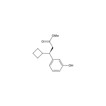 COC(=O)C[C@@H](c1cccc(O)c1)C1CCC1